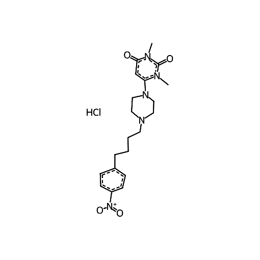 Cl.Cn1c(N2CCN(CCCCc3ccc([N+](=O)[O-])cc3)CC2)cc(=O)n(C)c1=O